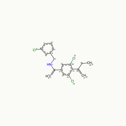 C=C(NCc1cccc(Cl)c1)c1cc(Cl)c(C(=C)CC)c(Cl)c1